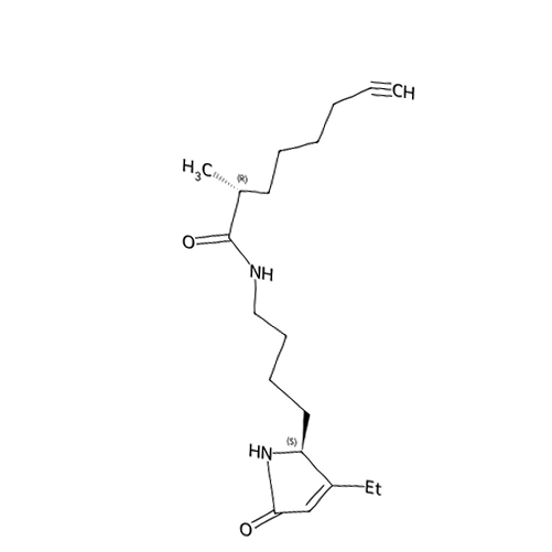 C#CCCCC[C@@H](C)C(=O)NCCCC[C@@H]1NC(=O)C=C1CC